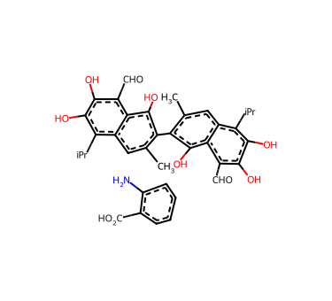 Cc1cc2c(C(C)C)c(O)c(O)c(C=O)c2c(O)c1-c1c(C)cc2c(C(C)C)c(O)c(O)c(C=O)c2c1O.Nc1ccccc1C(=O)O